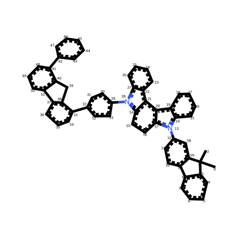 CC1(C)c2ccccc2-c2ccc(-n3c4ccccc4c4c5c6ccccc6n(-c6ccc(-c7cccc8c7Cc7c(-c9ccccc9)cccc7-8)cc6)c5ccc43)cc21